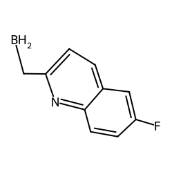 BCc1ccc2cc(F)ccc2n1